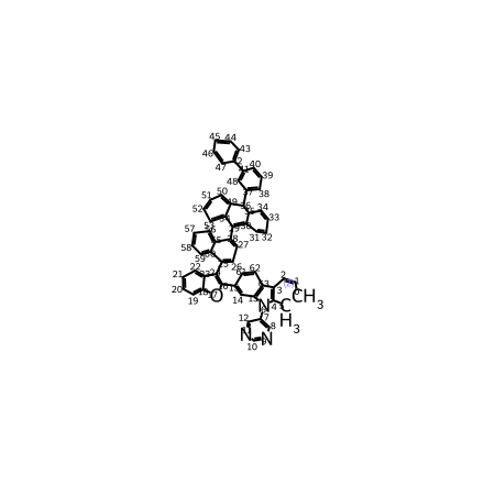 C/C=C\c1c(C)n(-c2cncnc2)c2cc(-c3oc4ccccc4c3-c3ccc(C4=C5C=CC=CC5C(c5cccc(-c6ccccc6)c5)c5ccccc54)c4ccccc34)ccc12